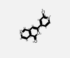 O=c1oc(-c2ccnc(Cl)c2)cc2cnccc12